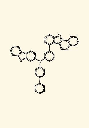 c1ccc(-c2ccc(N(c3cccc(-c4cccc5oc6c7ccccc7ccc6c45)c3)c3ccc4c(c3)sc3ccccc34)cc2)cc1